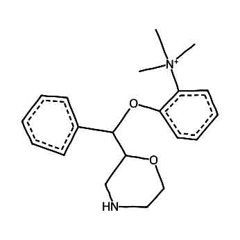 C[N+](C)(C)c1ccccc1OC(c1ccccc1)C1CNCCO1